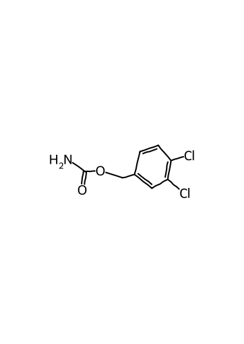 NC(=O)OCc1ccc(Cl)c(Cl)c1